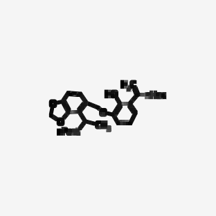 C=C(CCCCCC)c1cccc(OCc2ccc3c(c2C(C)CCCCC)OCO3)c1O